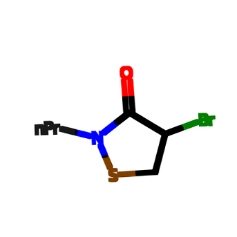 CCCN1SCC(Br)C1=O